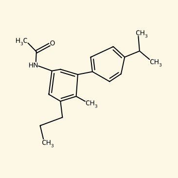 CCCc1cc(NC(C)=O)cc(-c2ccc(C(C)C)cc2)c1C